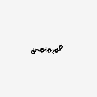 CC1CCN(Cc2ccc(C(=O)Nc3ccc(OC(=O)N4CCC(CCN(C)Cc5ccccc5)CC4)nc3)cc2)CC1